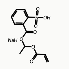 C=CC(=O)OC(C)OC(=O)c1ccccc1S(=O)(=O)O.[NaH]